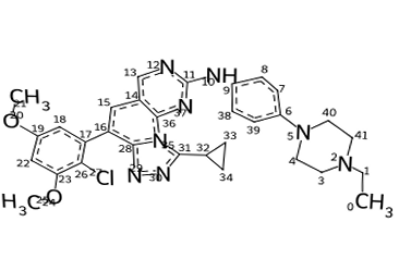 CCN1CCN(c2ccc(Nc3ncc4cc(-c5cc(OC)cc(OC)c5Cl)c5nnc(C6CC6)n5c4n3)cc2)CC1